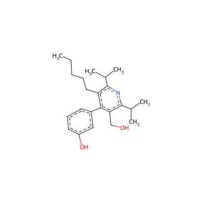 CCCCCc1c(C(C)C)nc(C(C)C)c(CO)c1-c1cccc(O)c1